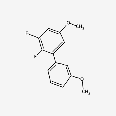 COc1cccc(-c2cc(OC)cc(F)c2F)c1